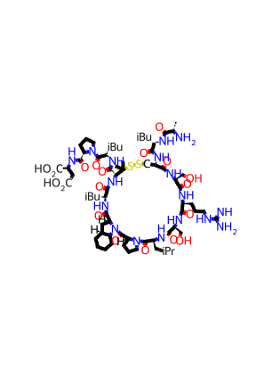 CC[C@H](C)[C@H](NC(=O)[C@H](C)N)C(=O)N[C@H]1CSSC(C)(C)[C@@H](C(=O)N[C@H](C(=O)N2CCC[C@H]2C(=O)N[C@@H](CC(=O)O)C(=O)O)[C@@H](C)CC)NC(=O)[C@H]([C@@H](C)CC)NC(=O)[C@@H]2C[C@@H]3CCCCC3N2C(=O)[C@@H]2CCCN2C(=O)[C@H](CC(C)C)NC(=O)[C@H](CO)NC(=O)[C@H](CCCNC(=N)N)NC(=O)[C@H](CO)NC1=O